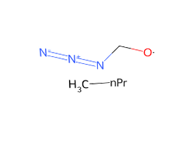 CCCC.[N-]=[N+]=NC[O]